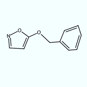 c1ccc(COc2ccno2)cc1